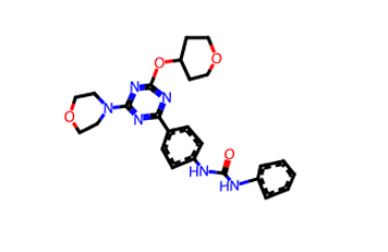 O=C(Nc1ccccc1)Nc1ccc(-c2nc(OC3CCOCC3)nc(N3CCOCC3)n2)cc1